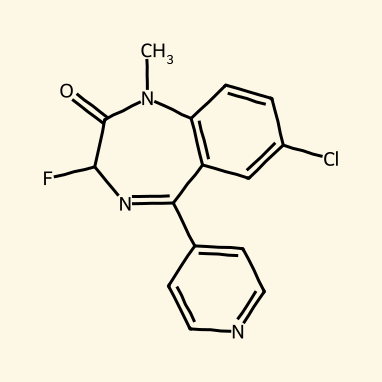 CN1C(=O)C(F)N=C(c2ccncc2)c2cc(Cl)ccc21